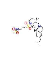 CC(C)Cc1ccc2c(c1)CCN1C[C@@H]3CCCN(S(=O)(=O)CCCNS(C)(=O)=O)[C@@H]3C[C@@H]21